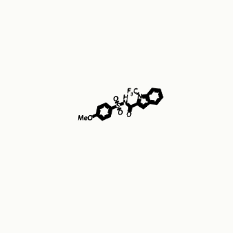 COc1ccc(S(=O)(=O)NC(=O)c2cc3ccccc3n2C(F)(F)F)cc1